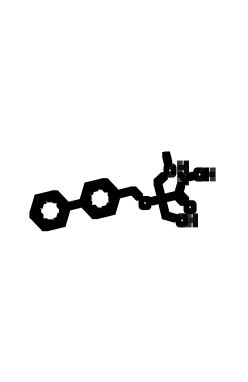 COCC(CO)(OCc1ccc(-c2ccccc2)cc1)C(=O)NO